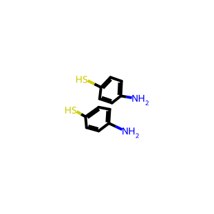 Nc1ccc(S)cc1.Nc1ccc(S)cc1